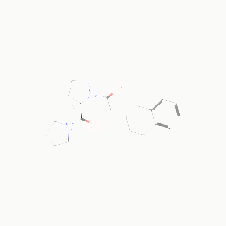 O=C([C@H]1CCCN1C(=O)C[C@H]1CCc2ccccc2C1)N1CCCC1